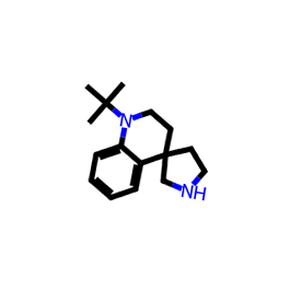 CC(C)(C)N1CCC2(CCNC2)c2ccccc21